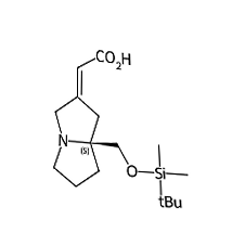 CC(C)(C)[Si](C)(C)OC[C@@]12CCCN1CC(=CC(=O)O)C2